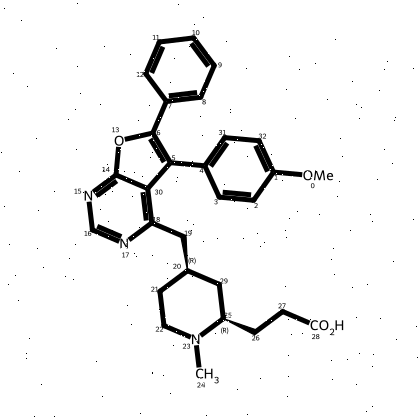 COc1ccc(-c2c(-c3ccccc3)oc3ncnc(C[C@@H]4CCN(C)[C@H](CCC(=O)O)C4)c23)cc1